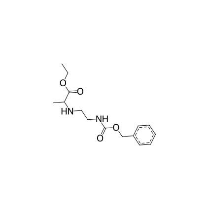 CCOC(=O)C(C)NCCNC(=O)OCc1ccccc1